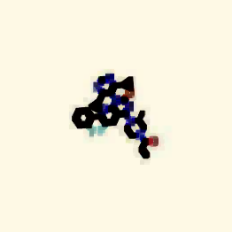 C=CC(=O)N1CCN(c2nc(=O)n(-c3c(C4CC4)ncnc3C3CC3)c3nc(-c4ccccc4F)c(F)cc23)[C@@H](C)C1